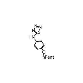 CCCCCOc1ccc(Nc2nnns2)cc1